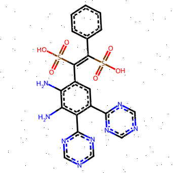 Nc1c(C(=C(c2ccccc2)S(=O)(=O)O)S(=O)(=O)O)cc(-c2ncncn2)c(-c2ncncn2)c1N